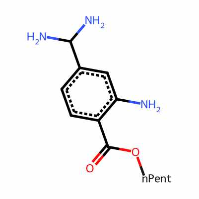 CCCCCOC(=O)c1ccc(C(N)N)cc1N